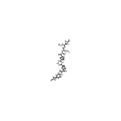 C/C(=C\N=C(/C)CC(=O)Nc1nnc([C@H]2CCC[C@H](c3nnc(NC(=O)Cc4ccc(N5CC(F)C5)cn4)s3)C2)s1)N1CC(F)C1